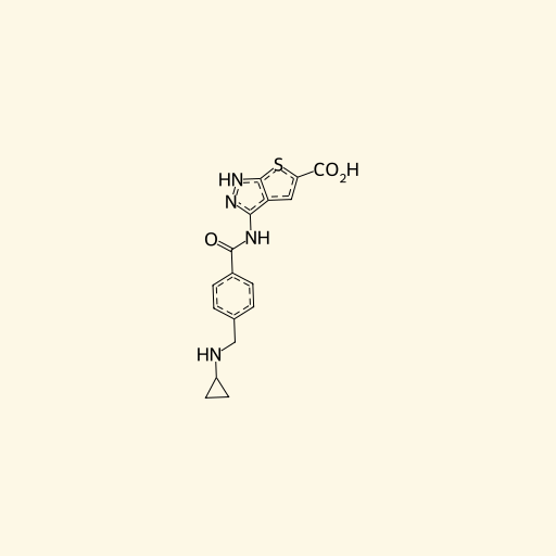 O=C(Nc1n[nH]c2sc(C(=O)O)cc12)c1ccc(CNC2CC2)cc1